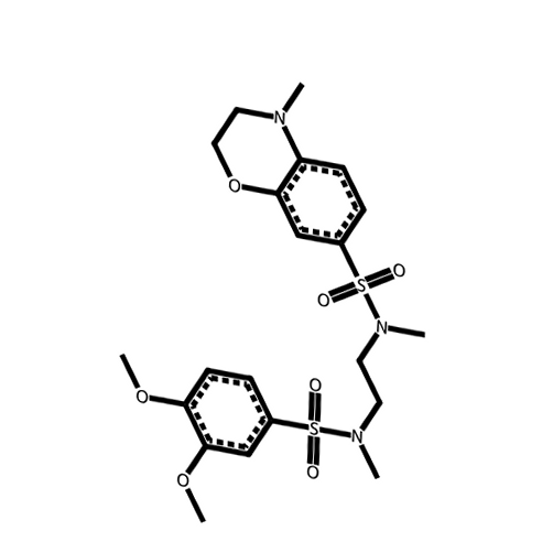 COc1ccc(S(=O)(=O)N(C)CCN(C)S(=O)(=O)c2ccc3c(c2)OCCN3C)cc1OC